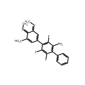 C/N=C1/C=C(c2c(F)c(F)c(-c3ccccc3)c(P)c2F)C=C(C(=O)O)/C1=N/C